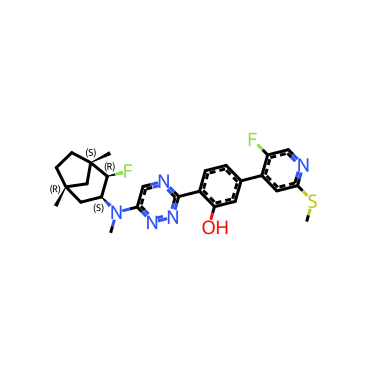 CSc1cc(-c2ccc(-c3ncc(N(C)[C@H]4C[C@]5(C)CC[C@@](C)(C5)[C@H]4F)nn3)c(O)c2)c(F)cn1